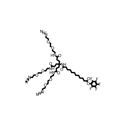 [N-]=[N+]=NCCOCCOCCNC(=O)CCC(CCC(=O)NCCOCCOCCN=[N+]=[N-])(CCC(=O)NCCOCCOCCN=[N+]=[N-])NC(=O)CCCCCCCCCCC(=O)Oc1c(F)c(F)c(F)c(F)c1F